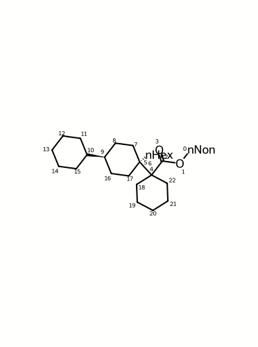 CCCCCCCCCOC(=O)C1([C@]2(CCCCCC)CC[C@H](C3CCCCC3)CC2)CCCCC1